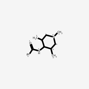 CC(C)C(=O)NC1C(C)CN(C)CC1C